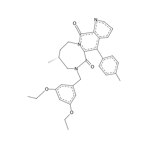 CCOc1cc(CN2C[C@H](C)CCn3c(c(-c4ccc(C)cc4)c4cccnc4c3=O)C2=O)cc(OCC)c1